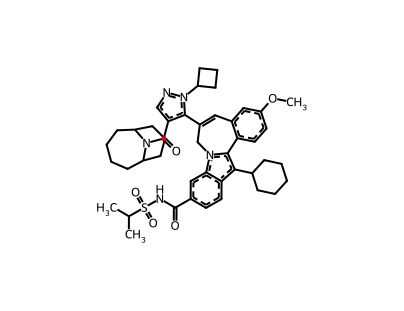 COc1ccc2c(c1)C=C(c1c(C(=O)N3C4CCCCC3CCC4)cnn1C1CCC1)Cn1c-2c(C2CCCCC2)c2ccc(C(=O)NS(=O)(=O)C(C)C)cc21